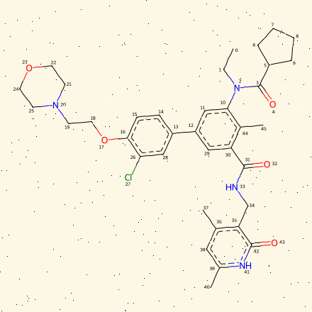 CCN(C(=O)C1CCCC1)c1cc(-c2ccc(OCCN3CCOCC3)c(Cl)c2)cc(C(=O)NCc2c(C)cc(C)[nH]c2=O)c1C